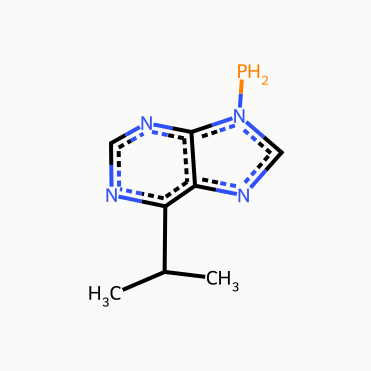 CC(C)c1ncnc2c1ncn2P